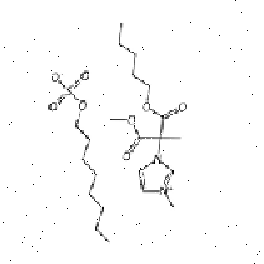 CCCCCCCCOS(=O)(=O)[O-].CCCCCOC(=O)C(C)(C(=O)OC)n1cc[n+](C)c1